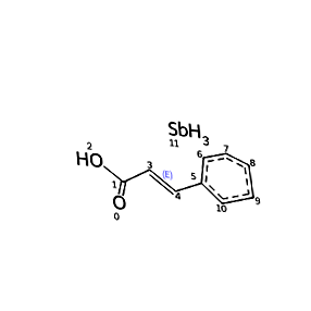 O=C(O)/C=C/c1ccccc1.[SbH3]